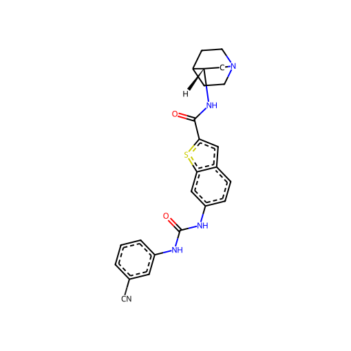 N#Cc1cccc(NC(=O)Nc2ccc3cc(C(=O)N[C@H]4CN5CCC4CC5)sc3c2)c1